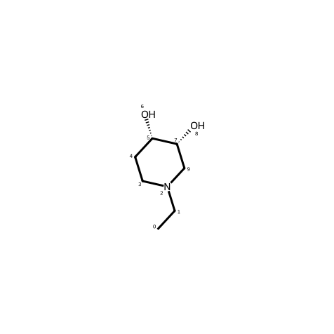 CCN1CC[C@H](O)[C@H](O)C1